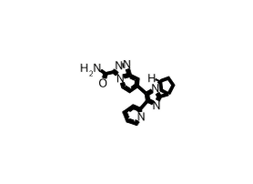 NC(=O)c1nnc2cc(-c3c(-c4ccccn4)nc4n3[C@@H]3CCC4C3)ccn12